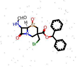 O=CNC1C(=O)N2CC(CBr)(C(=O)OC(c3ccccc3)c3ccccc3)C[S+]([O-])[C@H]12